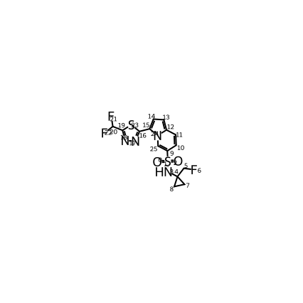 O=S(=O)(NC1(CF)CC1)c1ccc2ccc(-c3nnc(C(F)F)s3)n2c1